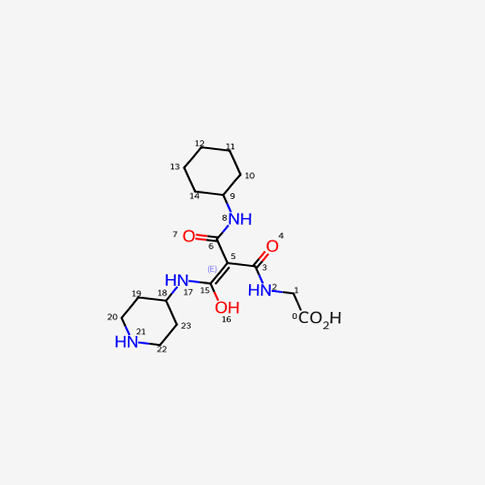 O=C(O)CNC(=O)/C(C(=O)NC1CCCCC1)=C(\O)NC1CCNCC1